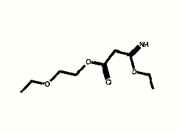 CCOCCOC(=O)CC(=N)OCC